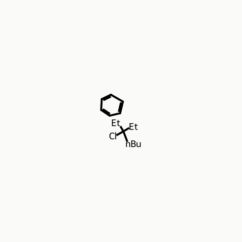 CCCCC(Cl)(CC)CC.c1ccccc1